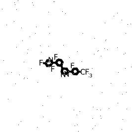 Fc1cnc(-c2cc(-c3cnnc(-c4ccc(C(F)(F)F)cc4F)c3)ccc2F)c(F)c1